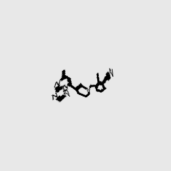 Cc1cc(C2CCCN(Cc3cccc(C#N)c3C)C2)n2ncnc2n1